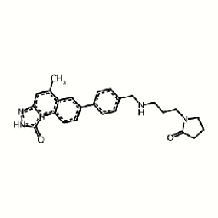 Cc1cc2n[nH]c(=O)n2c2ccc(-c3ccc(CNCCCN4CCCC4=O)cc3)cc12